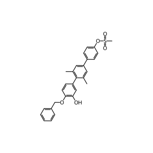 Cc1cc(-c2ccc(OS(C)(=O)=O)cc2)cc(C)c1-c1ccc(OCc2ccccc2)c(O)c1